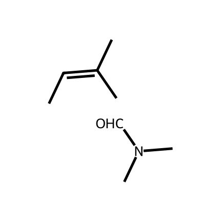 CC=C(C)C.CN(C)C=O